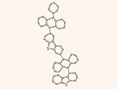 c1ccc(-c2c3ccccc3c(-c3ccc4sc5cc(-c6c7ccccc7c(-c7cccc8sc9ccccc9c78)c7ccccc67)ccc5c4c3)c3ccccc23)cc1